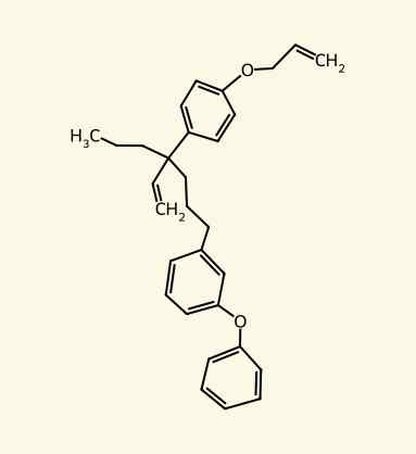 C=CCOc1ccc(C(C=C)(CCC)CCCc2cccc(Oc3ccccc3)c2)cc1